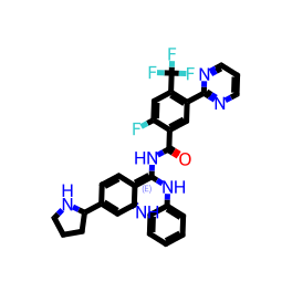 N=C1C=C(C2CCCN2)C=C/C1=C(\NC(=O)c1cc(-c2ncccn2)c(C(F)(F)F)cc1F)Nc1ccccc1